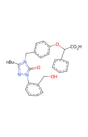 CCCCc1nn(-c2ccccc2CO)c(=O)n1Cc1ccc(OC(C(=O)O)c2ccccc2)cc1